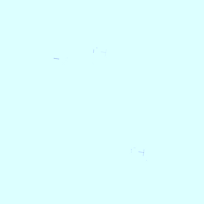 C=CCCCCCCCC(C)=CC